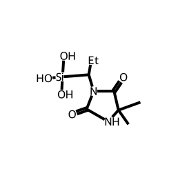 CCC(N1C(=O)NC(C)(C)C1=O)[Si](O)(O)O